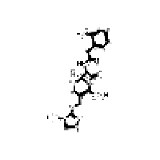 Cn1cnnc1SCC1=C(C(=O)O)N2C(=O)C(NC(=O)Cc3ccccc3N)[C@@H]2SC1